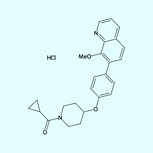 COc1c(-c2ccc(OC3CCN(C(=O)C4CC4)CC3)cc2)ccc2cccnc12.Cl